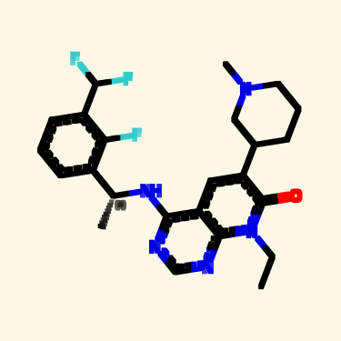 CCn1c(=O)c(C2CCCN(C)C2)cc2c(N[C@H](C)c3cccc(C(F)F)c3F)ncnc21